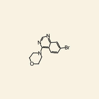 Brc1ccc2c(N3CCOCC3)ncnc2c1